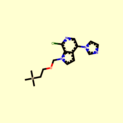 C[Si](C)(C)CCOCn1ccc2c(-n3ccnc3)cnc(Cl)c21